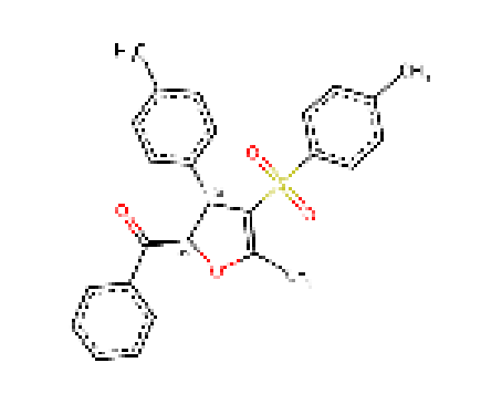 Cc1ccc([C@@H]2C(S(=O)(=O)c3ccc(C)cc3)=C(C(F)(F)F)O[C@H]2C(=O)c2ccccc2)cc1